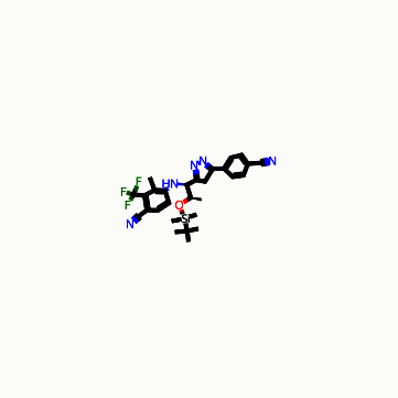 Cc1c(N[C@@H](C2=NN=C(c3ccc(C#N)cc3)C2)[C@@H](C)O[Si](C)(C)C(C)(C)C)ccc(C#N)c1C(F)(F)F